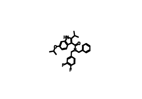 CC(C)Oc1ccc2c(C(=O)N(Cc3ccccc3)Cc3ccc(F)c(F)c3)c(C(C)C)[nH]c2c1